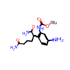 CC(C)(C)OC(=O)Nc1cc(N)ccc1C(CCCC(N)=O)C(N)=O